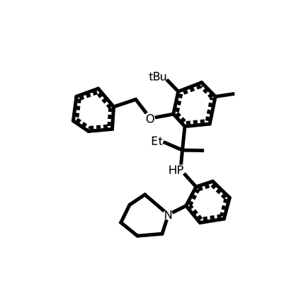 CCC(C)(Pc1ccccc1N1CCCCC1)c1cc(C)cc(C(C)(C)C)c1OCc1ccccc1